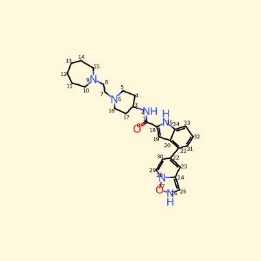 O=C(NC1CCN(CCN2CCCCCC2)CC1)c1cc2c(C3=CC4=CNON4C=C3)cccc2[nH]1